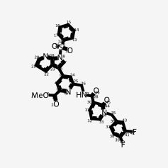 COC(=O)c1cc(-c2cn(S(=O)(=O)c3ccccc3)c3ncccc23)cc(CNC(=O)c2cccn(Cc3ccc(F)c(F)c3)c2=O)n1